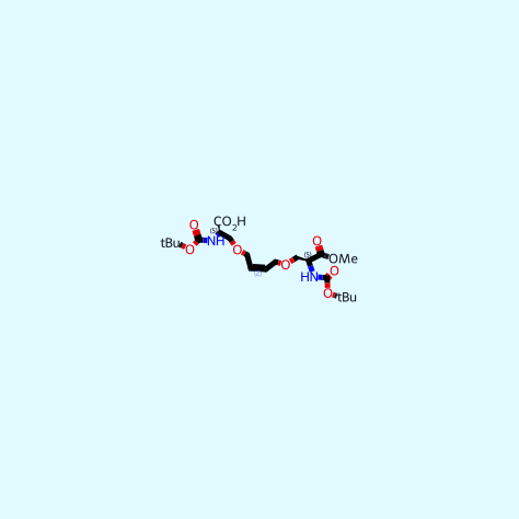 COC(=O)[C@H](COC/C=C\COC[C@H](NC(=O)OC(C)(C)C)C(=O)O)NC(=O)OC(C)(C)C